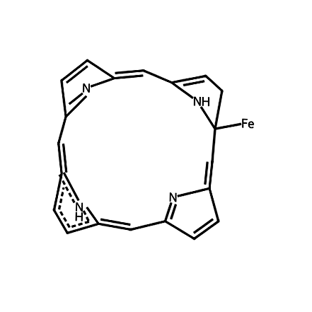 [Fe][C]12C=C3C=CC(=N3)C=c3ccc([nH]3)=CC3=NC(=CC(=CC1)N2)C=C3